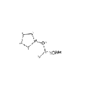 [CH2]OC(C)OC1CCCC1